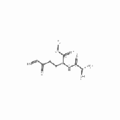 CCC(C)[C@H](O)C(=O)N[C@@H](CCC(=O)C=N)C(=O)OC(C)C